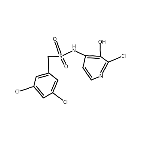 O=S(=O)(Cc1cc(Cl)cc(Cl)c1)Nc1ccnc(Cl)c1O